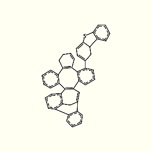 C1=CC2=C(CC1)c1ccccc1C1=C(C=C3Cc4c1cccc4-c1ccccc13)c1cccc(C3=CC=C4Sc5ccccc5C4C3)c12